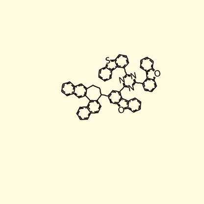 c1ccc2cc3c(cc2c1)CCC(c1cc(-c2nc(-c4cccc5oc6ccccc6c45)nc(-c4cccc5sc6ccccc6c45)n2)c2c(c1)oc1ccccc12)c1ccc2ccccc2c1-3